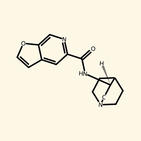 O=C(N[C@@H]1CN2CCC1CC2)c1cc2ccoc2cn1